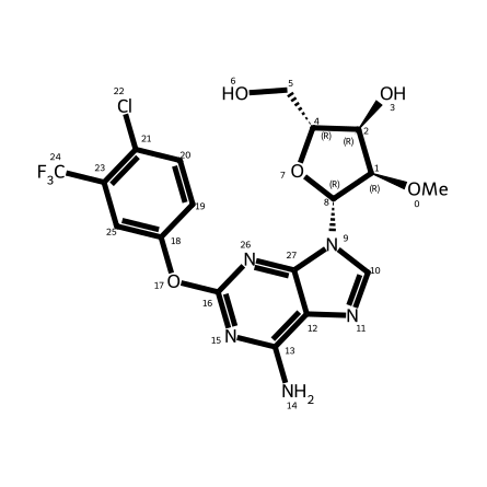 CO[C@@H]1[C@H](O)[C@@H](CO)O[C@H]1n1cnc2c(N)nc(Oc3ccc(Cl)c(C(F)(F)F)c3)nc21